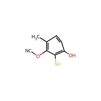 Cc1ccc(O)c(S)c1OC#N